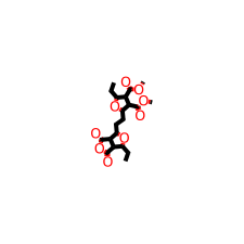 CCC1OC(CCC2OC(CC)C3C(=O)OC(=O)C23)C(C(=O)OC)C1C(=O)OC